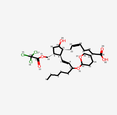 CCCCCC(/C=C/[C@H]1[C@H](COC(=O)C(Cl)(Cl)Cl)CC(O)[C@@H]1C/C=C\CCCC(=O)O)OC1CCCCO1